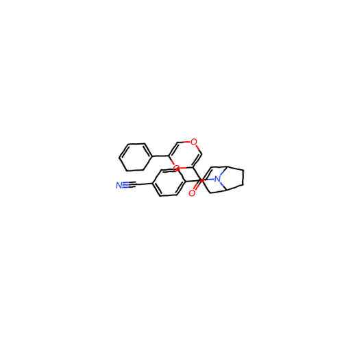 N#Cc1ccc(C2=CC3CCC(C2)N3C(=O)C2=COC=C(C3=CC=CCC3)O2)cc1